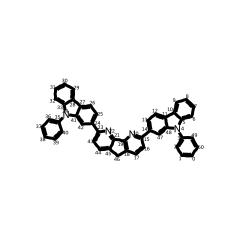 c1ccc(-n2c3ccccc3c3ccc(-c4ccc5c(n4)-c4nc(-c6ccc7c8ccccc8n(-c8ccccc8)c7c6)ccc4C5)cc32)cc1